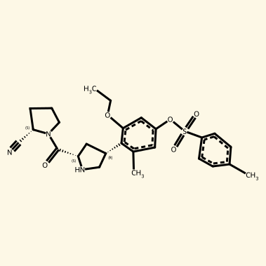 CCOc1cc(OS(=O)(=O)c2ccc(C)cc2)cc(C)c1[C@@H]1CN[C@H](C(=O)N2CCC[C@H]2C#N)C1